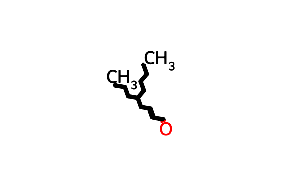 CCCCCC(C/C=C/C=O)CCCC